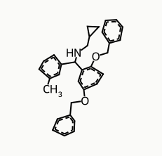 Cc1cccc(C(NCC2CC2)c2cc(OCc3ccccc3)ccc2OCc2ccccc2)c1